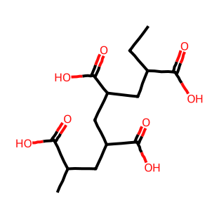 CCC(CC(CC(CC(C)C(=O)O)C(=O)O)C(=O)O)C(=O)O